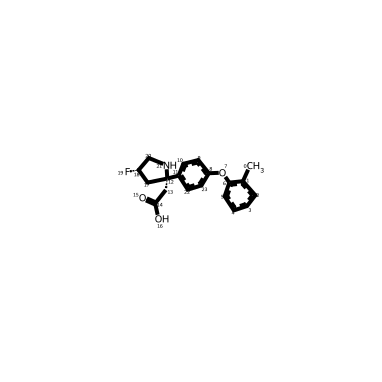 Cc1ccccc1Oc1ccc([C@@]2(CC(=O)O)C[C@H](F)CN2)cc1